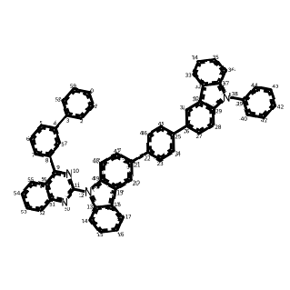 c1ccc(-c2cccc(-c3nc(-n4c5ccccc5c5cc(-c6ccc(-c7ccc8c(c7)c7ccccc7n8-c7ccccc7)cc6)ccc54)nc4ccccc34)c2)cc1